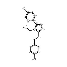 CCn1c(SCc2ccc(Cl)cc2)nnc1-c1ccc(O)cc1